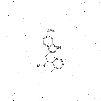 CN[C@H](Cc1c[nH]c2cc(OC)ccc12)c1ccccc1C